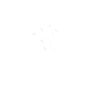 CN(C)c1cc(Cl)nc2sc3c(=O)n(C4CCCCC4)cnc3c12